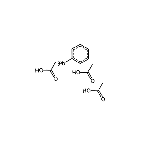 CC(=O)O.CC(=O)O.CC(=O)O.[Pb][c]1ccccc1